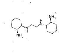 N[C@H]1CCCC[C@@H]1NCCN[C@@H]1CCCC[C@@H]1N